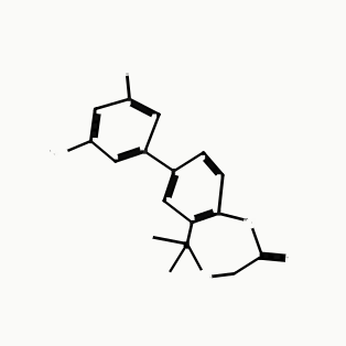 CC1(C)OCC(=O)Nc2ccc(-c3cc(Cl)cc(C#N)c3)cc21